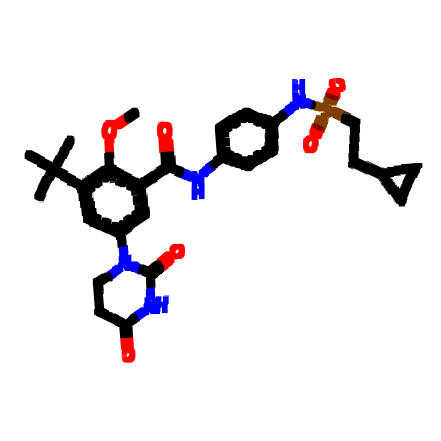 COc1c(C(=O)Nc2ccc(NS(=O)(=O)CCC3CC3)cc2)cc(N2CCC(=O)NC2=O)cc1C(C)(C)C